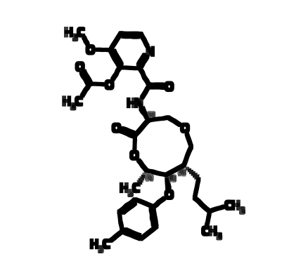 COc1ccnc(C(=O)N[C@H]2COC[C@H](CCC(C)C)[C@@H](Oc3ccc(C)cc3)[C@H](C)OC2=O)c1OC(C)=O